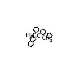 Cc1ccccc1.Cc1ccccc1C.c1ccc2ccccc2c1.c1ccccc1